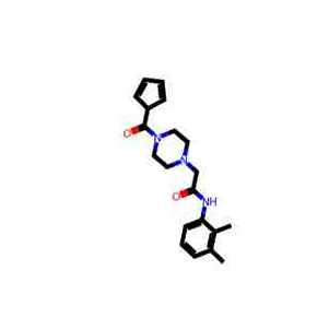 Cc1cccc(NC(=O)CN2CCN(C(=O)C3C=CC=C3)CC2)c1C